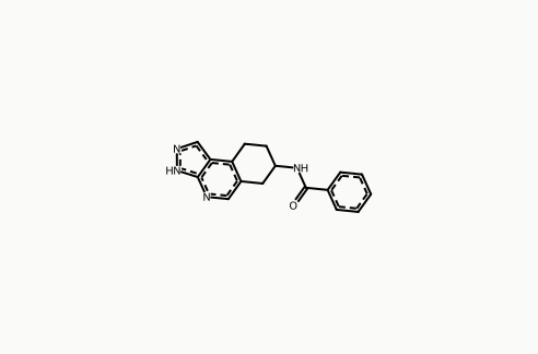 O=C(NC1CCc2c(cnc3[nH]ncc23)C1)c1ccccc1